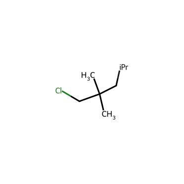 CC(C)CC(C)(C)CCl